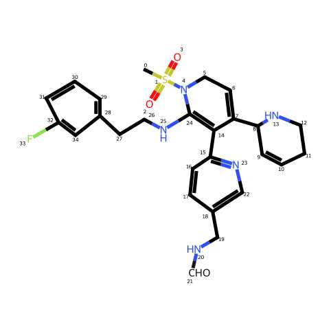 CS(=O)(=O)N1CC=C(C2C=CCCN2)C(c2ccc(CNC=O)cn2)=C1NCCc1cccc(F)c1